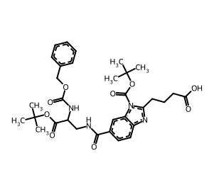 CC(C)(C)OC(=O)C(CNC(=O)c1ccc2nc(CCCC(=O)O)n(C(=O)OC(C)(C)C)c2c1)NC(=O)OCc1ccccc1